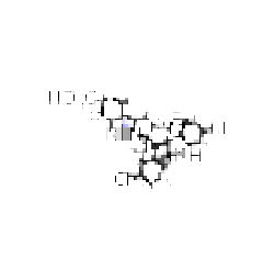 CCN1C2C/C(=C3\C=CC(C(=O)O)=CC3=N)N[C@H]2[C@H](c2cccc(Cl)c2F)C12C(=O)Nc1cc(Cl)ccc12